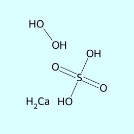 O=S(=O)(O)O.OO.[CaH2]